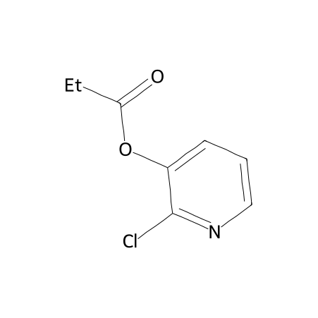 CCC(=O)Oc1cccnc1Cl